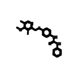 COc1c(C)cnc(CSc2ccc(NC(=O)Nc3ccccc3)cc2)c1C